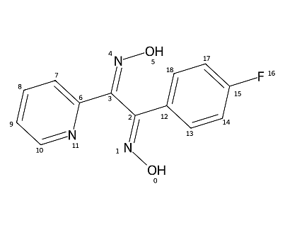 ON=C(C(=NO)c1ccccn1)c1ccc(F)cc1